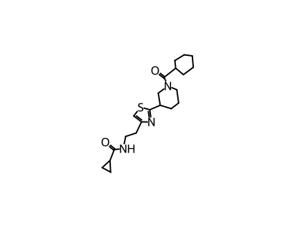 O=C(NCCc1csc(C2CCCN(C(=O)C3CCCCC3)C2)n1)C1CC1